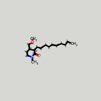 CCCCCCCCCCC1C(=O)N(C)CCC1COC